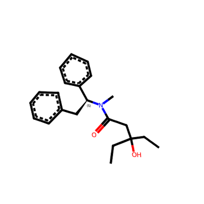 CCC(O)(CC)CC(=O)N(C)[C@@H](Cc1ccccc1)c1ccccc1